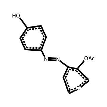 CC(=O)Oc1ccccc1N=Nc1ccc(O)cc1